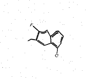 Cc1cc2c(Cl)cccc2cc1F